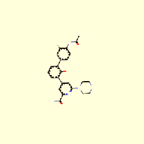 CC(=O)Nc1ccc(-c2cccc(-c3cc(C(N)=O)nc(N4CCNCC4)c3)c2O)cc1F